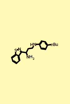 CCCCc1ccc(NCCC(N)c2nsc3ccccc23)cc1